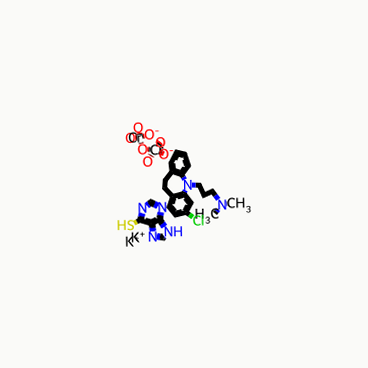 CN(C)CCCN1c2ccccc2CCc2ccc(Cl)cc21.Sc1ncnc2[nH]cnc12.[K+].[K+].[O]=[Cr](=[O])([O-])[O][Cr](=[O])(=[O])[O-]